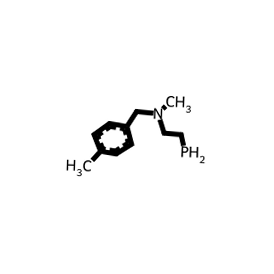 Cc1ccc(CN(C)CCP)cc1